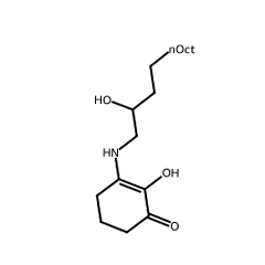 CCCCCCCCCCC(O)CNC1=C(O)C(=O)CCC1